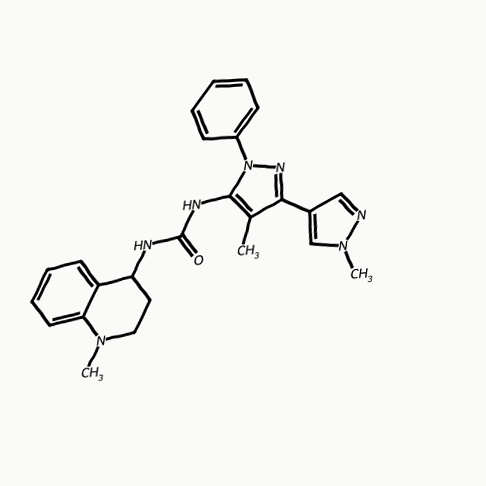 Cc1c(-c2cnn(C)c2)nn(-c2ccccc2)c1NC(=O)NC1CCN(C)c2ccccc21